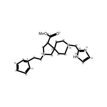 COC(=O)C1CN(CCc2ccccc2)CC12CCN(Cc1ncc[nH]1)CC2